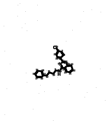 Clc1ccc(-c2nc(NCCCCc3ccccc3)c3ccccc3n2)cc1